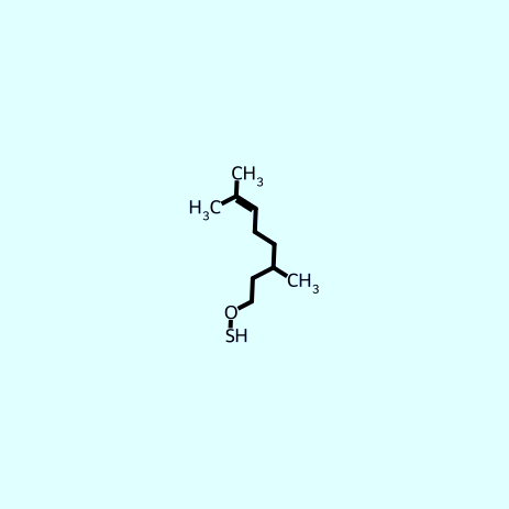 CC(C)=CCCC(C)CCOS